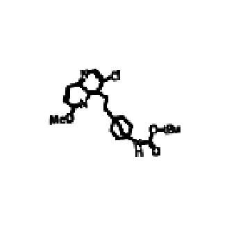 COc1ccc2ncc(Cl)c(CCC34CCC(NC(=O)OC(C)(C)C)(CC3)CC4)c2n1